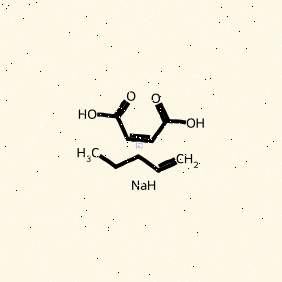 C=CCCC.O=C(O)/C=C\C(=O)O.[NaH]